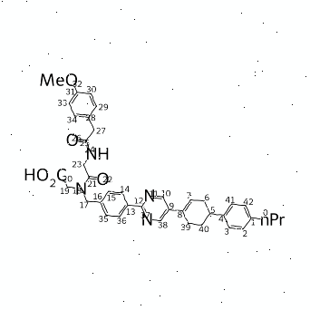 CCCc1ccc(C2CC=C(c3cnc(-c4ccc(CN(CC(=O)O)C(=O)CNC(=O)Cc5ccc(OC)cc5)cc4)nc3)CC2)cc1